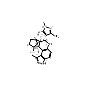 Cc1n[nH]c2ccc3c(c12)[C@H]1[C@@H]2CC[C@H](C2)[C@H]1[C@H](c1cn(C)nc1C(F)(F)F)N3